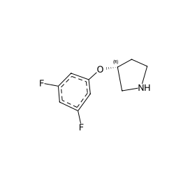 Fc1cc(F)cc(O[C@@H]2CCNC2)c1